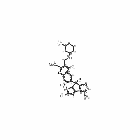 COc1nc2ccc(C3(O)c4c(nc(C)n4C)-n4c3cnc4C)cc2c(Cl)c1CNC1CCCC(C(F)(F)F)C1